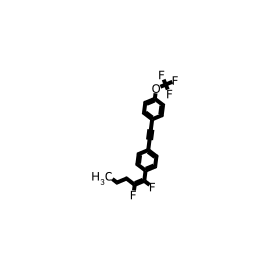 CCC/C(F)=C(/F)c1ccc(C#Cc2ccc(OC(F)(F)F)cc2)cc1